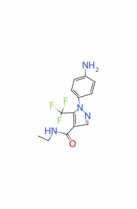 CCNC(=O)c1cnn(-c2ccc(N)cc2)c1C(F)(F)F